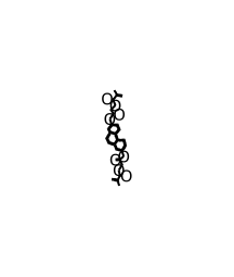 C=C(C)C(=O)OCC(=O)Oc1ccc2c(ccc3cc(OC(=O)COC(=O)C(=C)C)ccc32)c1